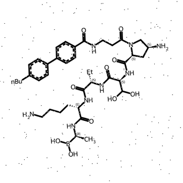 CCCCc1ccc(-c2ccc(C(=O)NCCC(=O)N3C[C@@H](N)C[C@H]3C(=O)N[C@H](C(=O)N[C@@H](CC)C(=O)N[C@@H](CCCCN)C(=O)N[C@@H](C)B(O)O)C(O)O)cc2)cc1